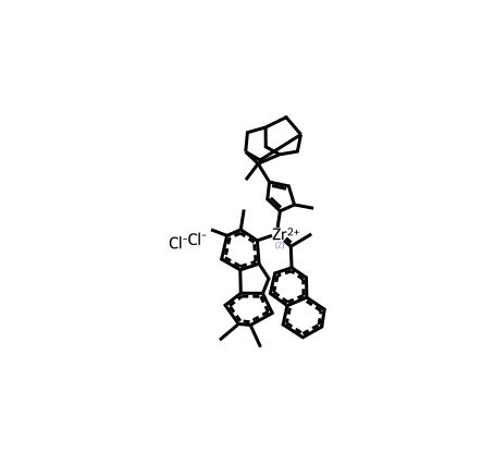 C/[C](c1ccc2ccccc2c1)=[Zr+2](\[C]1=CC(C2(C)C3CC4CC(C3)CC2C4)=CC1C)[c]1c(C)c(C)cc2c1Cc1cc(C)c(C)cc1-2.[Cl-].[Cl-]